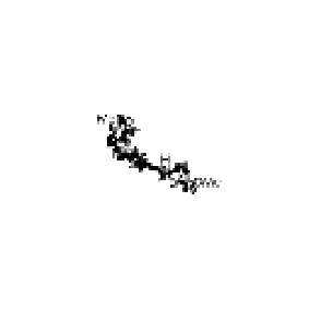 COC(=O)NC(C(=O)N1CCCC1c1ncc(C#Cc2cc3sc(-c4cnc(C5CCCN5C(=O)C(NC(=O)OC)C(C)C)[nH]4)cc3s2)[nH]1)C(C)C